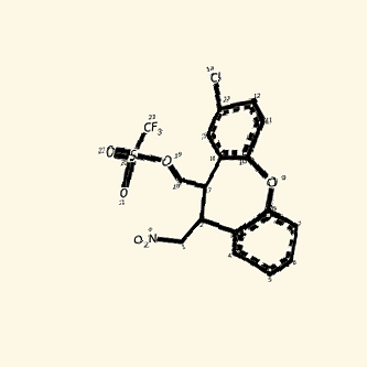 O=[N+]([O-])CC1c2ccccc2Oc2ccc(Cl)cc2C1COS(=O)(=O)C(F)(F)F